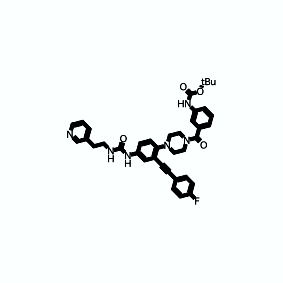 CC(C)(C)OC(=O)Nc1cccc(C(=O)N2CCN(c3ccc(NC(=O)NCCc4cccnc4)cc3C#Cc3ccc(F)cc3)CC2)c1